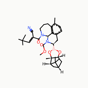 COC(=O)N([C@@H]1CCCCCN1C(=O)C(C#N)=CC(C)(C)C)[C@@H](Cc1ccc(C)cc1)B1O[C@@H]2C[C@@H]3C[C@@H](C3(C)C)[C@]2(C)O1